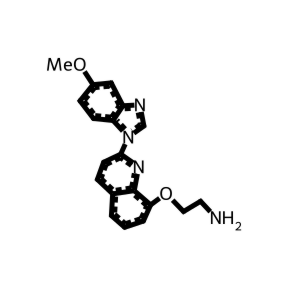 COc1ccc2c(c1)ncn2-c1ccc2cccc(OCCN)c2n1